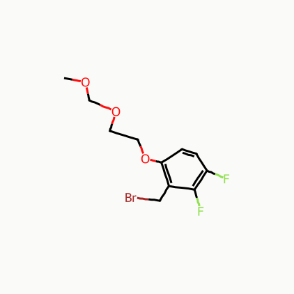 COCOCCOc1ccc(F)c(F)c1CBr